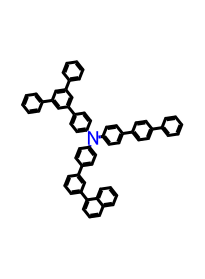 c1ccc(-c2ccc(-c3ccc(N(c4ccc(-c5cc(-c6ccccc6)cc(-c6ccccc6)c5)cc4)c4ccc(-c5cccc(-c6cccc7ccccc67)c5)cc4)cc3)cc2)cc1